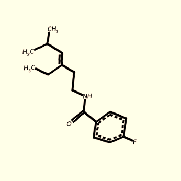 CC/C(=C\C(C)C)CCNC(=O)c1ccc(F)cc1